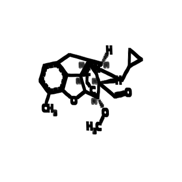 CO[C@]12CCC[C@@]3(C[C@@H]1C=O)[C@H]1Cc4ccc(C)c5c4[C@@]3(CCN1CC1CC1)C2O5